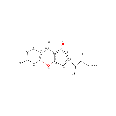 CCCCCC(C)C(C)c1cc(O)c2c(c1)OC1=C(CCC(C)C1)C2C